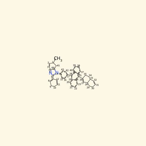 CC1C=Cc2nc(C3=CCCC=C3)n(-c3ccc(-c4c5ccccc5c(C5=CC6CCC=CC6CC5)c5ccccc45)cc3)c2C1